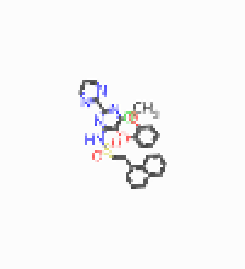 COc1ccccc1Oc1c(Cl)nc(-c2ncccn2)nc1NS(=O)(=O)/C=C/c1cccc2ccccc12